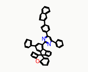 c1ccc(-c2cc(-c3nc(-c4ccccc4)cc(-c4ccc(-c5ccc6ccccc6c5)cc4)n3)c3c(c2)C2(c4ccccc4Oc4ccccc42)c2ccccc2-3)cc1